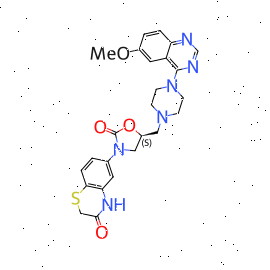 COc1ccc2ncnc(N3CCN(C[C@H]4CN(c5ccc6c(c5)NC(=O)CS6)C(=O)O4)CC3)c2c1